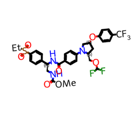 CCS(=O)(=O)c1ccc([C@H](CNC(=O)OC)NC(=O)c2ccc(N3C[C@@H](Oc4ccc(C(F)(F)F)cc4)C[C@H]3COC(F)F)cc2)cc1